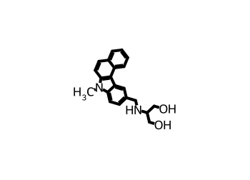 Cn1c2ccc(CNC(CO)CO)cc2c2c3ccccc3ccc21